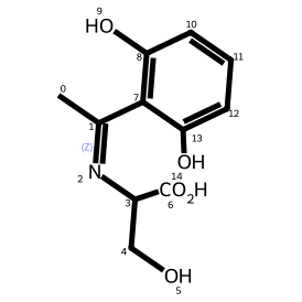 C/C(=N/C(CO)C(=O)O)c1c(O)cccc1O